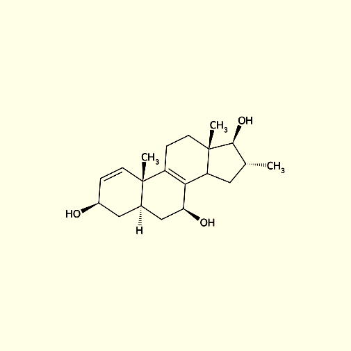 C[C@@H]1CC2C3=C(CC[C@]2(C)[C@H]1O)[C@@]1(C)C=C[C@H](O)C[C@@H]1C[C@@H]3O